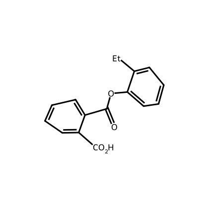 CCc1ccccc1OC(=O)c1ccccc1C(=O)O